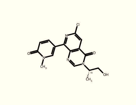 C[C@@H](CO)n1cnc2c(-c3ccc(=O)n(C)c3)nc(Cl)cc2c1=O